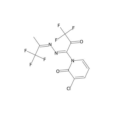 CC(=NN=C(C(=O)C(F)(F)F)n1cccc(Cl)c1=O)C(F)(F)F